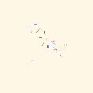 Cn1cnc2ccc(-c3cn(COCC[Si](C)(C)C)c4nc(N5[C@@H]6CC[C@H]5C[C@@H](NC(=O)O)C6)cnc34)c(Cl)c2c1=O